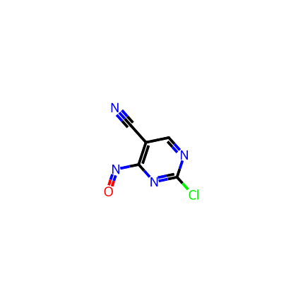 N#Cc1cnc(Cl)nc1N=O